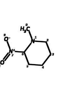 CN1C[CH]CCC1[N+](=O)[O-]